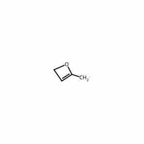 [CH2]C1=CCO1